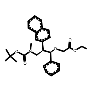 CCOC(=O)CO[C@@H](c1ccccc1)[C@@H](CN(C)C(=O)OC(C)(C)C)c1ccc2ccccc2c1